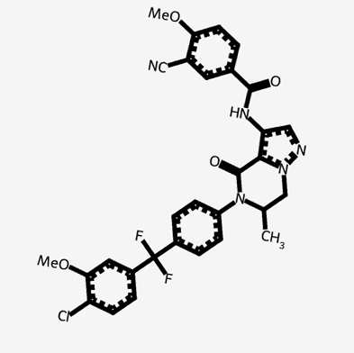 COc1cc(C(F)(F)c2ccc(N3C(=O)c4c(NC(=O)c5ccc(OC)c(C#N)c5)cnn4CC3C)cc2)ccc1Cl